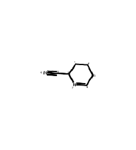 N#CC1CCCC=N1